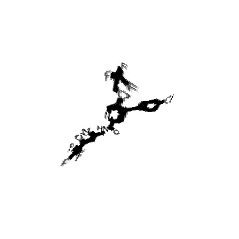 O=C(NCc1cc(C(F)(F)F)on1)c1cc(-c2ccc(Cl)cc2)c(OCC(F)(F)F)cn1